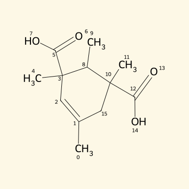 CC1=CC(C)(C(=O)O)C(C)C(C)(C(=O)O)C1